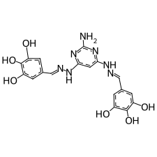 Nc1nc(NN=Cc2cc(O)c(O)c(O)c2)cc(NN=Cc2cc(O)c(O)c(O)c2)n1